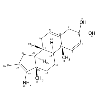 C[C@]12C=CC(O)(O)CC1=CC[C@@H]1[C@@H]2CC[C@]2(C)C(N)=C(F)C[C@@H]12